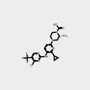 C[C@@H]1CN(c2ccc(Nc3ncc(C(F)(F)F)c(Cl)n3)c(C3CC3)n2)CCN1C(=O)O